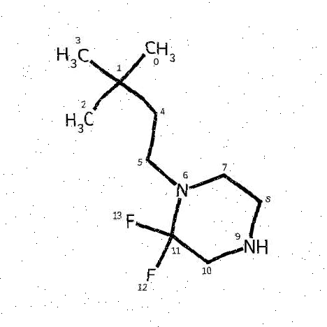 CC(C)(C)CCN1CCNCC1(F)F